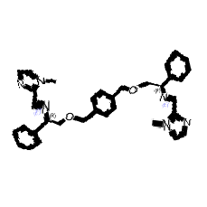 Cn1ccnc1/C=N/[C@@H](COCc1ccc(COC[C@H](/N=C/c2nccn2C)c2ccccc2)cc1)c1ccccc1